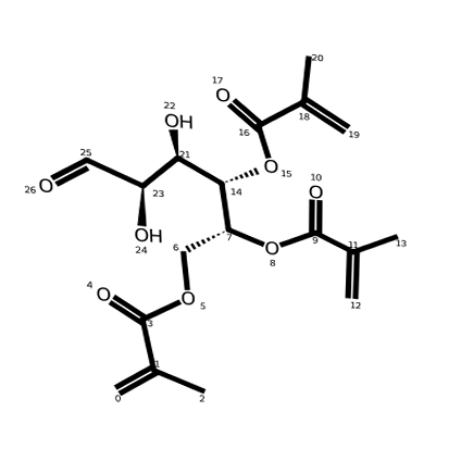 C=C(C)C(=O)OC[C@@H](OC(=O)C(=C)C)[C@@H](OC(=O)C(=C)C)[C@H](O)[C@@H](O)C=O